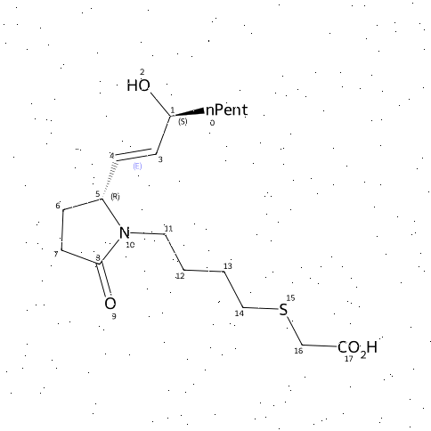 CCCCC[C@H](O)/C=C/[C@H]1CCC(=O)N1CCCCSCC(=O)O